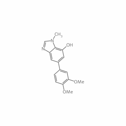 COc1ccc(-c2cc(O)c3c(c2)ncn3C)cc1OC